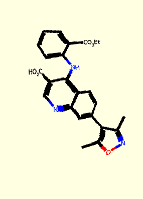 CCOC(=O)c1ccccc1Nc1c(C(=O)O)cnc2cc(-c3c(C)noc3C)ccc12